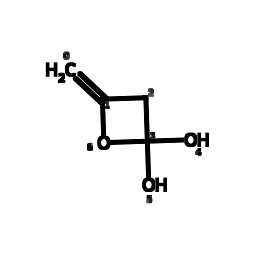 C=C1CC(O)(O)O1